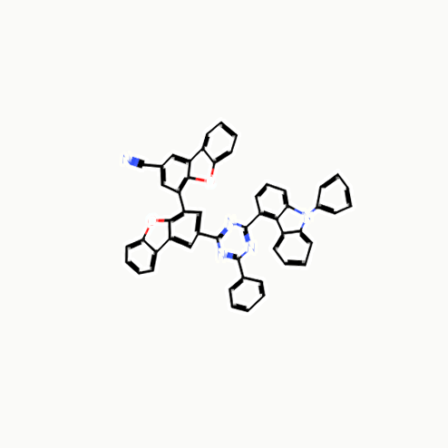 N#Cc1cc(-c2cc(-c3nc(-c4ccccc4)nc(-c4cccc5c4c4ccccc4n5-c4ccccc4)n3)cc3c2oc2ccccc23)c2oc3ccccc3c2c1